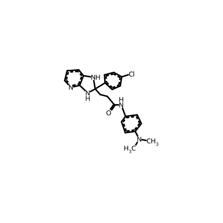 CN(C)c1ccc(NC(=O)CCC2(c3ccc(Cl)cc3)Nc3cccnc3N2)cc1